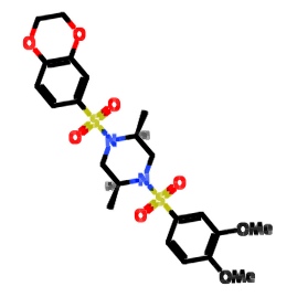 COc1ccc(S(=O)(=O)N2C[C@H](C)N(S(=O)(=O)c3ccc4c(c3)OCCO4)C[C@@H]2C)cc1OC